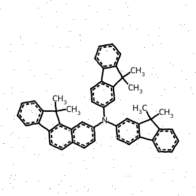 CC1(C)c2ccccc2-c2ccc(N(c3ccc4c(c3)C(C)(C)c3ccccc3-4)c3ccc4ccc5c(c4c3)C(C)(C)c3ccccc3-5)cc21